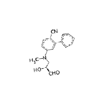 CN(C[C@H](O)C=O)c1ccc(C#N)c(-c2ccccc2)c1